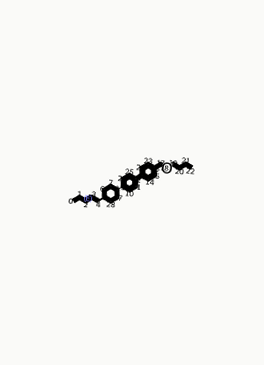 CC/C=C/C[C@H]1CC[C@H](c2ccc(-c3ccc(COCCCC)cc3)cc2)CC1